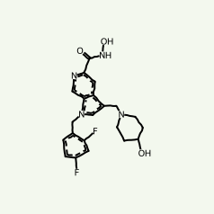 O=C(NO)c1cc2c(CN3CCC(O)CC3)cn(Cc3ccc(F)cc3F)c2cn1